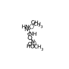 CC1(C)CCc2c(-c3cc4ccc(N5CCC(C)(O)C5=O)cc4[nH]3)n[nH]c2C1